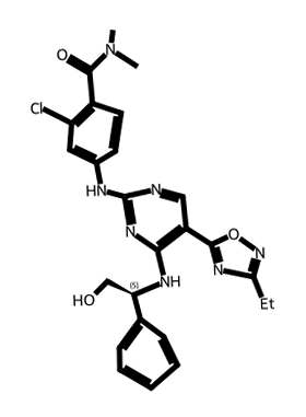 CCc1noc(-c2cnc(Nc3ccc(C(=O)N(C)C)c(Cl)c3)nc2N[C@H](CO)c2ccccc2)n1